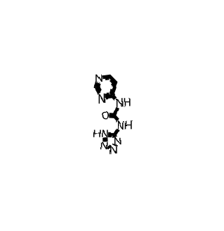 O=C(Nc1ccncn1)Nc1nnn[nH]1